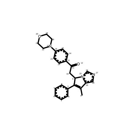 CC1=C(c2ccccc2)C(CC(=O)c2ccc(N3CCOCC3)cc2)n2cncc21